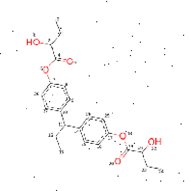 CCC(O)C(=O)Oc1ccc(C(CC)c2ccc(OC(=O)C(O)CC)cc2)cc1